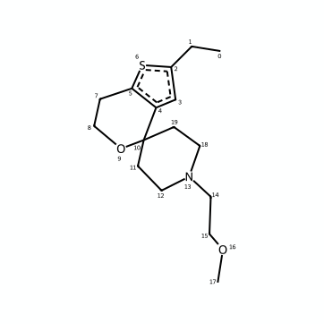 CCc1cc2c(s1)CCOC21CCN(CCOC)CC1